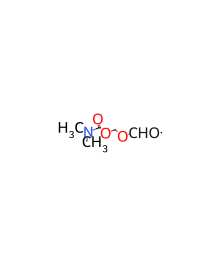 CN(C)C(=O)OCO[C]=O